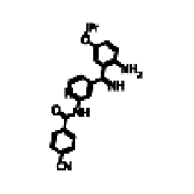 CC(C)Oc1ccc(N)c(C(=N)c2ccnc(NC(=O)c3ccc(C#N)cc3)c2)c1